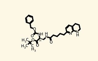 CC(C)(C)OC(=O)[C@H](CNC(=O)CCCCc1ccc2c(n1)NCCC2)NC(=O)OCc1ccccc1